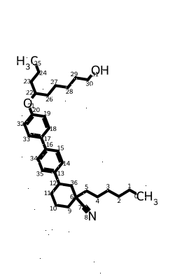 CCCCCCC1(C#N)CCCC(c2ccc(-c3ccc(OC(CCC)CCCCCO)cc3)cc2)C1